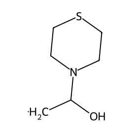 [CH2]C(O)N1CCSCC1